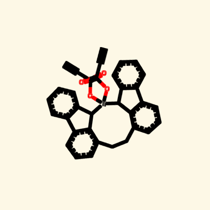 C#CC(=O)[O][Ti]1([O]C(=O)C#C)[CH]2c3ccccc3-c3cccc(c32)CCc2cccc3c2[CH]1c1ccccc1-3